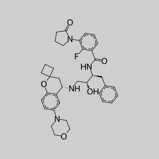 O=C(N[C@@H](Cc1ccccc1)[C@@H](O)CN[C@H]1CC2(CCC2)Oc2ccc(N3CCOCC3)cc21)c1cccc(N2CCCC2=O)c1F